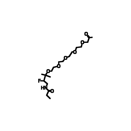 CCC(=O)NCC(F)C(C)(C)OCCOCCOCCOCCOCC(C)=O